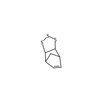 C1=CC2CC1C1SSSC21